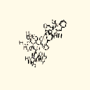 CCC(C)C(C(CC(=O)N1CCCC1C(CC(=O)NC(Cc1ccccc1)P(CC=O)N=O)OC)OC)N(C)C(=O)[C@@H](/N=C(/NC)N(C)C)C(C)C